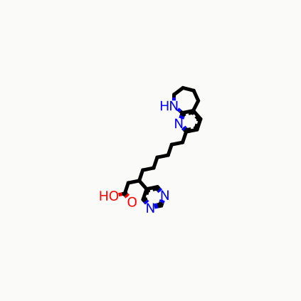 O=C(O)CC(CCCCCCc1ccc2c(n1)NCCCC2)c1cncnc1